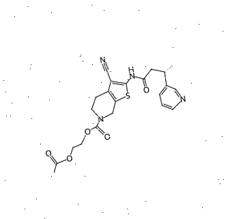 CC(=O)OCCOC(=O)N1CCc2c(sc(NC(=O)C[C@H](C)c3cccnc3)c2C#N)C1